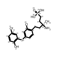 C[C@](N)(CCc1ccc(Sc2cc(C(F)(F)F)ccc2O)cc1Cl)CCP(=O)(O)O